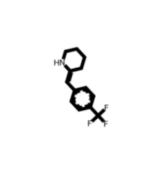 FC(F)(F)c1ccc(C=C2CCCCN2)cc1